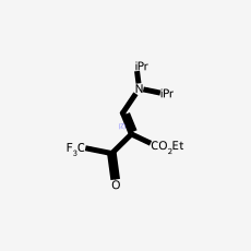 CCOC(=O)/C(=C\N(C(C)C)C(C)C)C(=O)C(F)(F)F